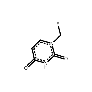 O=c1ccn(CF)c(=O)[nH]1